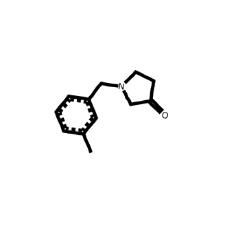 Cc1cccc(CN2CCC(=O)C2)c1